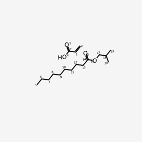 C=CC(=O)O.CCCCCCCCCC(=O)OCC(C)C